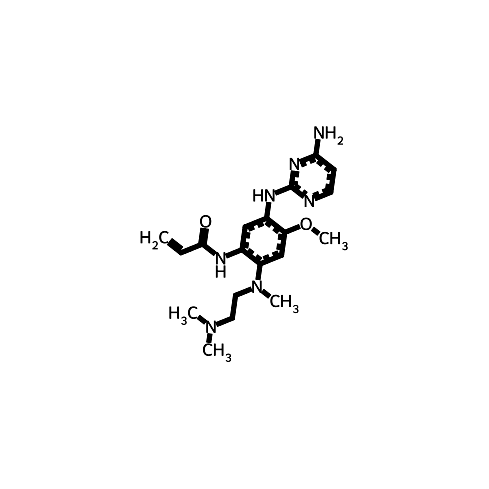 C=CC(=O)Nc1cc(Nc2nccc(N)n2)c(OC)cc1N(C)CCN(C)C